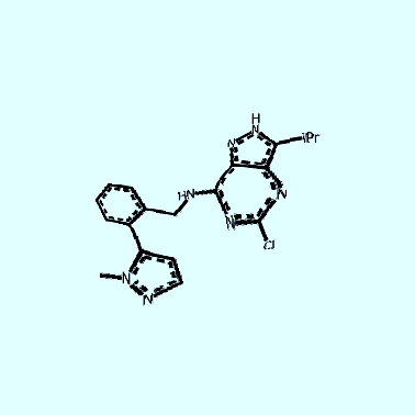 CC(C)c1[nH]nc2c(NCc3ccccc3-c3ccnn3C)nc(Cl)nc12